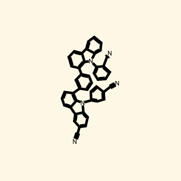 N#Cc1ccc(-n2c3ccc(C#N)cc3c3cccc(-c4cccc(-c5cccc6c7ccccc7n(-c7ccccc7C#N)c56)c4)c32)cc1